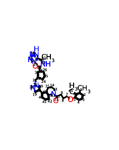 Cc1cccc(OCCCC(=O)N2CCCc3c(-c4cnn(Cc5cccc(C(=O)NC(C)c6nnn[nH]6)c5)c4)cccc32)c1C